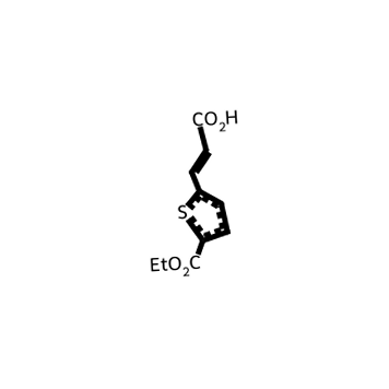 CCOC(=O)c1ccc(C=CC(=O)O)s1